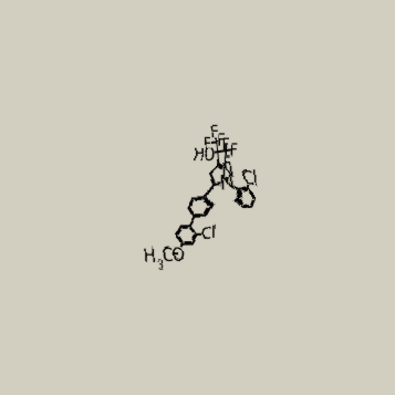 COc1ccc(-c2ccc(C3CC(C(O)(C(F)(F)F)C(F)(F)F)=NN3c3ccccc3Cl)cc2)c(Cl)c1